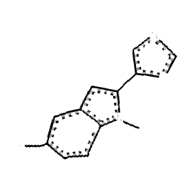 CC(C)n1c(-c2cncs2)cc2cc(F)ccc21